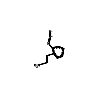 [N-]=[N+]=Nc1ccccc1C=C[N+](=O)[O-]